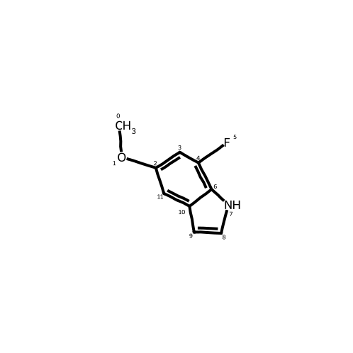 COc1cc(F)c2[nH]ccc2c1